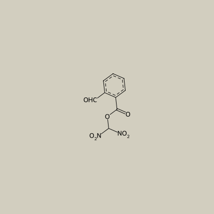 O=Cc1ccccc1C(=O)OC([N+](=O)[O-])[N+](=O)[O-]